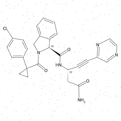 NC(=O)C[C@@H](C#Cc1cnccn1)NC(=O)[C@@H]1c2ccccc2CN1C(=O)C1(c2ccc(Cl)cc2)CC1